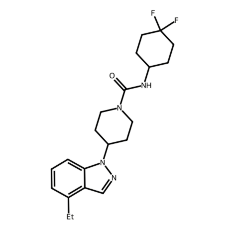 CCc1cccc2c1cnn2C1CCN(C(=O)NC2CCC(F)(F)CC2)CC1